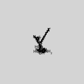 CCCCCCCCCCCCCCCCO[C@H](COCc1cc(F)cc(C#N)c1)COP(=O)(O)OC[C@@]1(C#N)O[C@@H](c2ccc3c(N)ncnn23)[C@H](O)[C@@H]1O